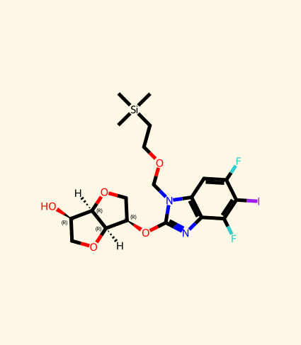 C[Si](C)(C)CCOCn1c(O[C@@H]2CO[C@H]3[C@@H]2OC[C@H]3O)nc2c(F)c(I)c(F)cc21